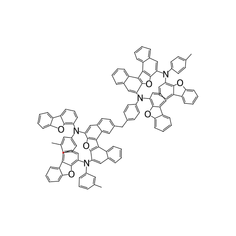 Cc1ccc(N(c2cccc3c2oc2ccccc23)c2cc3ccccc3c3c2oc2c(N(c4ccc(Cc5ccc6cc(N(c7cccc(C)c7)c7cccc8c7oc7ccccc78)c7oc8c(N(c9cccc(C)c9)c9cccc%10c9oc9ccccc9%10)cc9ccccc9c8c7c6c5)cc4)c4cccc5c4oc4ccccc45)cc4ccccc4c23)cc1